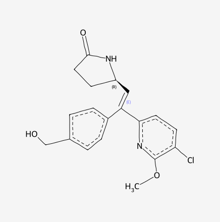 COc1nc(/C(=C/[C@H]2CCC(=O)N2)c2ccc(CO)cc2)ccc1Cl